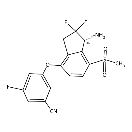 CS(=O)(=O)c1ccc(Oc2cc(F)cc(C#N)c2)c2c1[C@@H](N)C(F)(F)C2